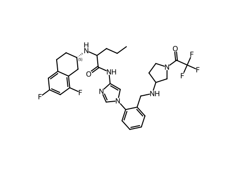 CCCC(N[C@H]1CCc2cc(F)cc(F)c2C1)C(=O)Nc1cn(-c2ccccc2CNC2CCN(C(=O)C(F)(F)F)C2)cn1